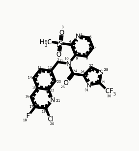 CS(=O)(=O)c1ncccc1N(Cc1ccc2cc(F)c(Cl)nc2c1)C(=O)c1csc(C(F)(F)F)n1